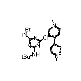 CCNc1nc(Cl)nc(NC(C)(C)C)n1.C[n+]1ccc(-c2cc[n+](C)cc2)cc1